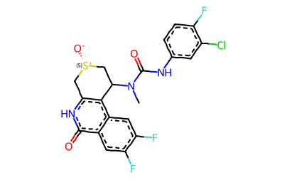 CN(C(=O)Nc1ccc(F)c(Cl)c1)C1C[S@@+]([O-])Cc2[nH]c(=O)c3cc(F)c(F)cc3c21